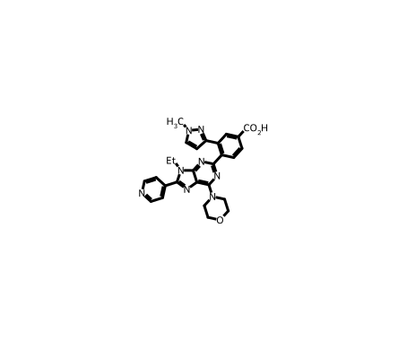 CCn1c(-c2ccncc2)nc2c(N3CCOCC3)nc(-c3ccc(C(=O)O)cc3-c3ccn(C)n3)nc21